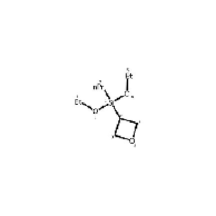 CCC[Si](OCC)(OCC)C1COC1